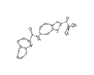 O=C(Nc1ccc2cc(C(=O)NO)sc2c1)c1ccc2ccccc2n1